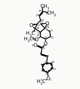 COc1ccc(/C=C/C(=O)O[C@@H]2CC[C@]3(CO3)C([C@]3(C)OC3CC=C(C)C)[C@@H]2OC)cc1